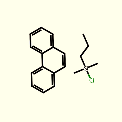 CCC[Si](C)(C)Cl.c1ccc2c(c1)ccc1ccccc12